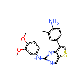 COc1ccc(Nc2ncc3scc(-c4ccc(N)c(C)c4)c3n2)cc1OC